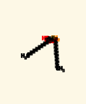 CCCCCCCCC=CCCCCCCCC(=O)OC(P)C(CO)OC(=O)CCCCCCCCCCCCCCC